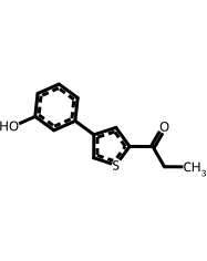 CCC(=O)c1cc(-c2cccc(O)c2)cs1